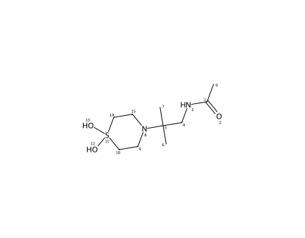 CC(=O)NCC(C)(C)N1CCS(O)(O)CC1